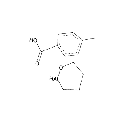 C1C[CH2][AlH][O]C1.Cc1ccc(C(=O)O)cc1